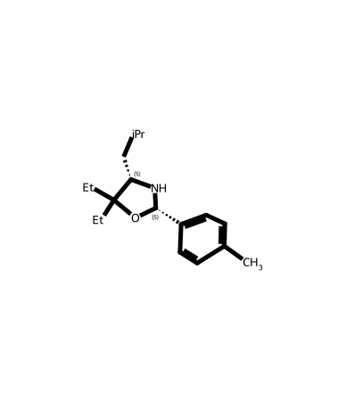 CCC1(CC)O[C@@H](c2ccc(C)cc2)N[C@H]1CC(C)C